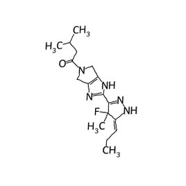 CC/C=C1/NN=C(c2nc3c([nH]2)CN(C(=O)CC(C)C)C3)C1(C)F